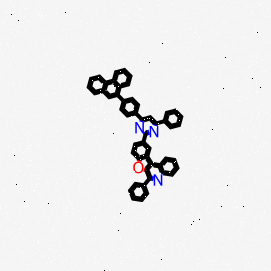 c1ccc(-c2cc(-c3ccc(-c4cc5ccccc5c5ccccc45)cc3)nc(-c3ccc4oc5c(-c6ccccc6)nc6ccccc6c5c4c3)n2)cc1